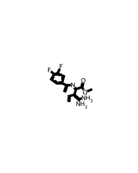 C=CC(=C(N)N)/C(=N\C(=C)c1ccc(F)c(F)c1)C(=O)OC